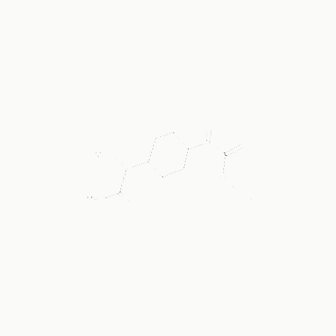 COC(=O)C(OC)C1CCC(NC(=O)OC(C)(C)C)CC1